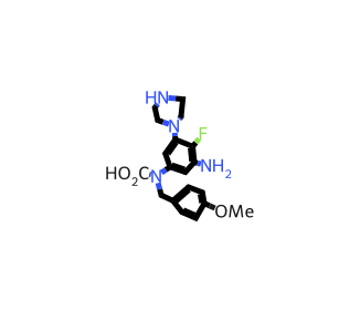 COc1ccc(CN(C(=O)O)c2cc(N)c(F)c(N3CCNCC3)c2)cc1